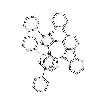 c1ccc(-c2nc(-c3ccccc3)nc(-n3c4ccccc4c4ccc5c6ccccc6n6c(-c7ccccc7)nc(-c7ccccc7)c6c5c43)n2)cc1